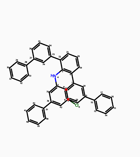 Clc1cc(Nc2c(-c3cccc(-c4ccccc4)c3)cccc2-c2cccc(-c3ccccc3)c2)cc(-c2ccccc2)c1